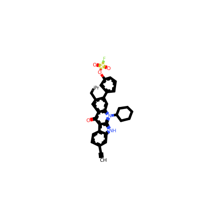 C#Cc1ccc2c(c1)[nH]c1c2c(=O)c2cc(CC(C)C)c(-c3cccc(OS(=O)(=O)F)c3)cc2n1C1CCCCC1